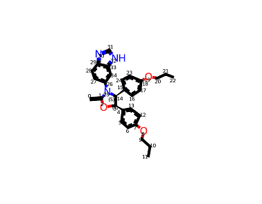 C=C1O[C@H](c2ccc(OCCC)cc2)[C@H](c2ccc(OCCC)cc2)N1c1ccc2nc[nH]c2c1